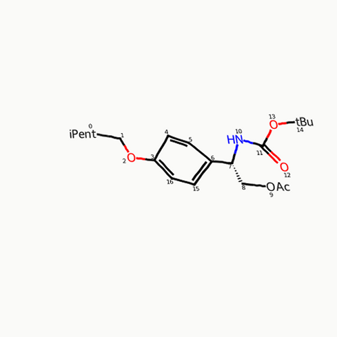 CCCC(C)COc1ccc([C@@H](COC(C)=O)NC(=O)OC(C)(C)C)cc1